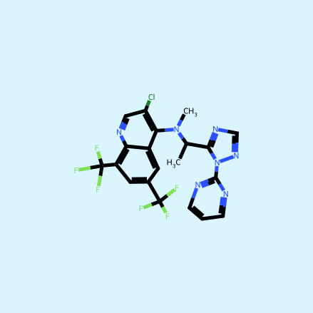 CC(c1ncnn1-c1ncccn1)N(C)c1c(Cl)cnc2c(C(F)(F)F)cc(C(F)(F)F)cc12